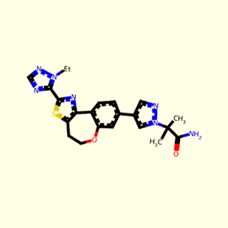 CCn1ncnc1-c1nc2c(s1)CCOc1cc(-c3cnn(C(C)(C)C(N)=O)c3)ccc1-2